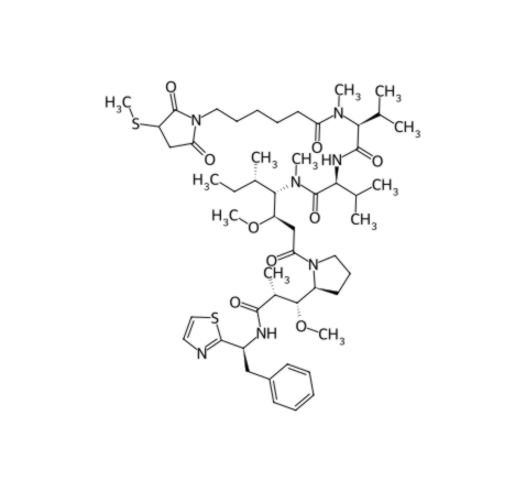 CC[C@H](C)[C@@H]([C@@H](CC(=O)N1CCC[C@H]1[C@H](OC)[C@@H](C)C(=O)N[C@@H](Cc1ccccc1)c1nccs1)OC)N(C)C(=O)[C@@H](NC(=O)[C@H](C(C)C)N(C)C(=O)CCCCCN1C(=O)CC(SC)C1=O)C(C)C